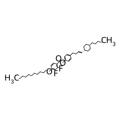 CCCCCCCCCCCOc1ccc(C(=O)Oc2ccc(CCC=C[C@H]3CC[C@H](CCCCC)CC3)cc2)c(F)c1F